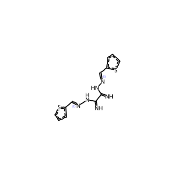 N=C(N/N=C/c1cccs1)C(=N)N/N=C/c1cccs1